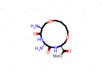 COC(=O)[C@@H]1COCCCCOC[C@H](N)C(=O)N[C@@H](N)C(=O)N1